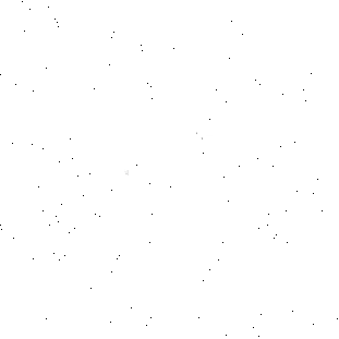 C/C=C(Br)\C=C(\N)CC